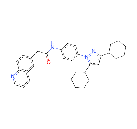 O=C(Cc1ccc2ncccc2c1)Nc1ccc(-n2nc(C3CCCCC3)cc2C2CCCCC2)cc1